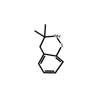 CC1(C)Cc2ccccc2SN1